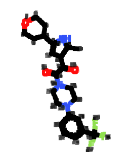 CC1NC(C2CCOCC2)=CC1C(=O)C(=O)N1CCN(c2cccc(C(F)(F)F)c2)CC1